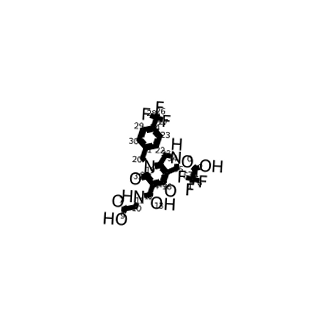 O=C(O)C(F)(F)F.O=C(O)CNC(=O)c1c(O)c2c(n(Cc3ccc(C(F)(F)F)cc3)c1=O)CNC2